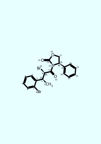 C[C@@H](c1ccccc1Br)[C@@H](Br)C(=O)N1C(=O)OC[C@H]1c1ccccc1